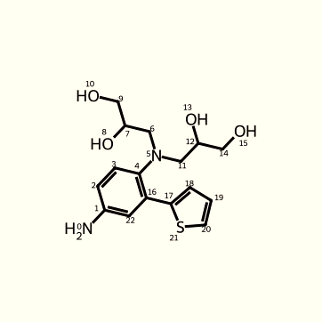 Nc1ccc(N(CC(O)CO)CC(O)CO)c(-c2cccs2)c1